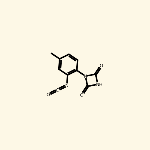 Cc1ccc(N2C(=O)NC2=O)c(N=C=O)c1